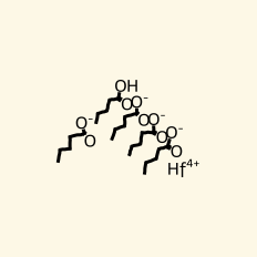 CCCCC(=O)O.CCCCC(=O)[O-].CCCCC(=O)[O-].CCCCC(=O)[O-].CCCCC(=O)[O-].[Hf+4]